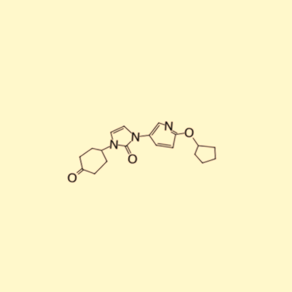 O=C1CCC(n2ccn(-c3ccc(OC4CCCC4)nc3)c2=O)CC1